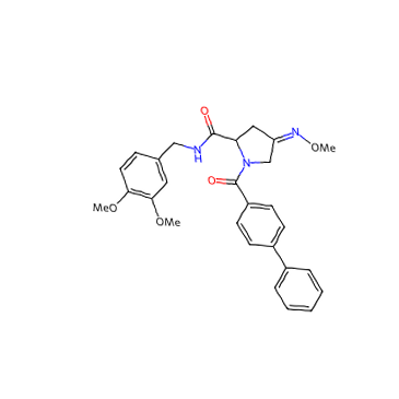 CON=C1CC(C(=O)NCc2ccc(OC)c(OC)c2)N(C(=O)c2ccc(-c3ccccc3)cc2)C1